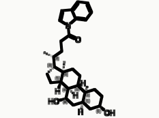 C[C@H](CCC(=O)n1ccc2ccccc21)[C@H]1CC[C@H]2[C@@H]3[C@H](O)C[C@@H]4C[C@H](O)CC[C@]4(C)[C@H]3CC[C@]12C